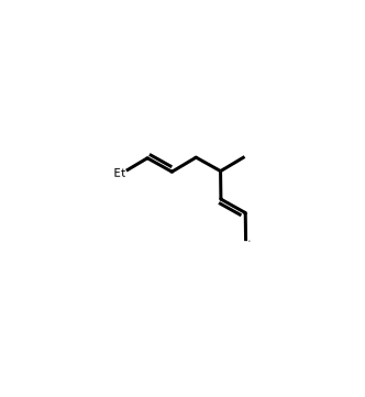 [CH2]C=CC(C)CC=CCC